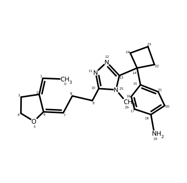 C/C=C1/CCO/C1=C/CCc1nnc(C2(c3ccc(N)cc3)CCC2)n1C